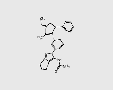 CC1[C@@H](C2C=C(n3nc4c(c3NC(N)=O)CCC4)C=CC2)C(c2ccccc2)CN1CC(F)(F)F